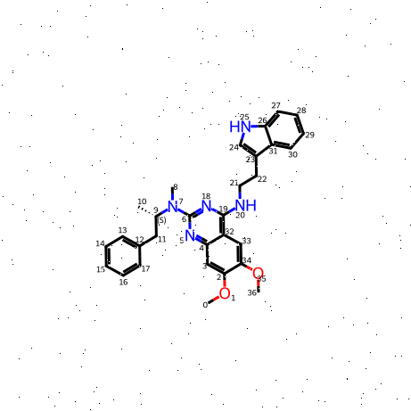 COc1cc2nc(N(C)[C@@H](C)Cc3ccccc3)nc(NCCc3c[nH]c4ccccc34)c2cc1OC